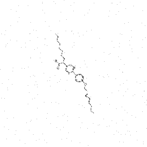 CCCCCCCCC(C(=O)O)c1cnc(-c2ccc(OCCOCCCCC)cc2)nc1